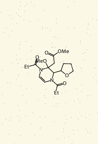 CCC(=O)N1C=CN(C(=O)CC)C(CC(=O)OC)(OC)C1C1CCCO1